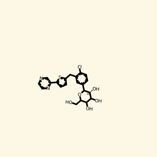 OCC1OC(c2ccc(Cl)c(Cc3ccc(-c4cnccn4)s3)c2)[C@H](O)C(O)C1O